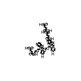 CCOCCn1c(CN2CCNCC2)nc2ccncc21.CCOCCn1c(CN2CCNCC2)nc2ccncc21.O=C(O)C=CC(=O)O.O=C(O)C=CC(=O)O.O=C(O)C=CC(=O)O